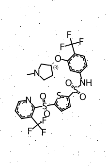 CN1CC[C@@H](Oc2cc(NS(=O)(=O)c3ccc(S(=O)(=O)c4ncccc4C(F)(F)F)s3)ccc2C(F)(F)F)C1